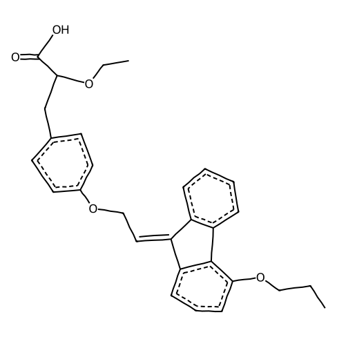 CCCOc1cccc2c1-c1ccccc1C2=CCOc1ccc(CC(OCC)C(=O)O)cc1